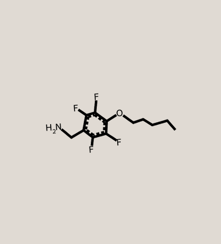 CCCCCOc1c(F)c(F)c(CN)c(F)c1F